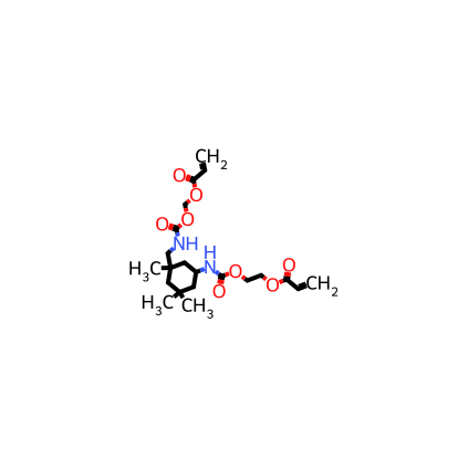 C=CC(=O)OCCOC(=O)NC1CC(C)(C)CC(C)(CNC(=O)OCOC(=O)C=C)C1